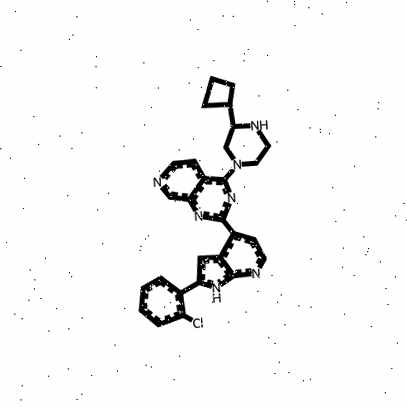 Clc1ccccc1-c1cc2c(-c3nc(N4CCNC(C5CCC5)C4)c4ccncc4n3)ccnc2[nH]1